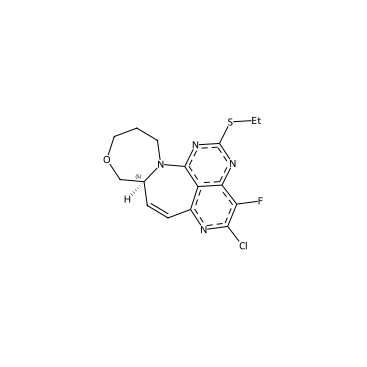 CCSc1nc2c3c(nc(Cl)c(F)c3n1)C=C[C@H]1COCCCN21